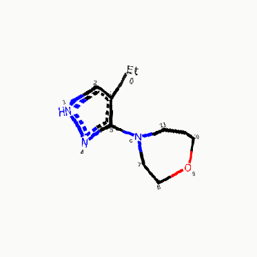 CCc1c[nH]nc1N1CCOCC1